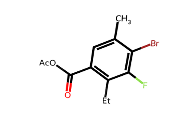 CCc1c(C(=O)OC(C)=O)cc(C)c(Br)c1F